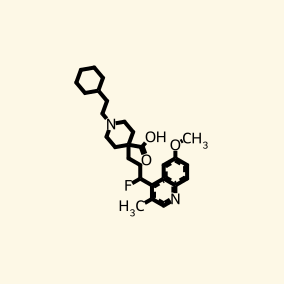 COc1ccc2ncc(C)c(C(F)CCC3(C(=O)O)CCN(CCC4CCCCC4)CC3)c2c1